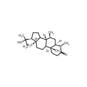 C[C@H]1C[C@H]2N(C)C(=O)CC[C@]2(C)[C@H]2CC[C@]3(C)[C@@H](C(C)(C)O)CC[C@H]3[C@H]12